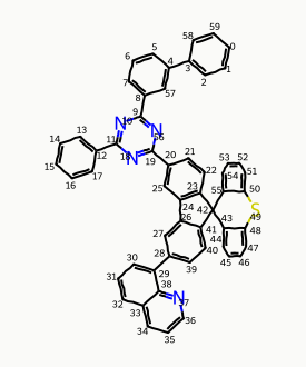 c1ccc(-c2cccc(-c3nc(-c4ccccc4)nc(-c4ccc5c(c4)-c4cc(-c6cccc7cccnc67)ccc4C54c5ccccc5Sc5ccccc54)n3)c2)cc1